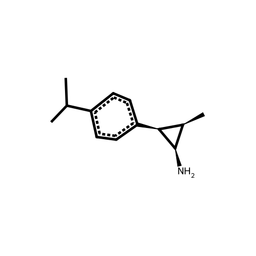 CC(C)c1ccc([C@H]2[C@@H](C)[C@H]2N)cc1